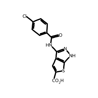 O=C(Nc1n[nH]c2sc(C(=O)O)cc12)c1ccc(Cl)cc1